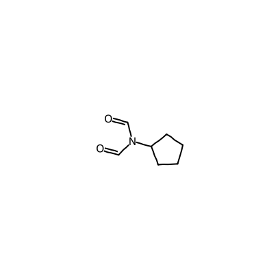 O=CN(C=O)C1CCCC1